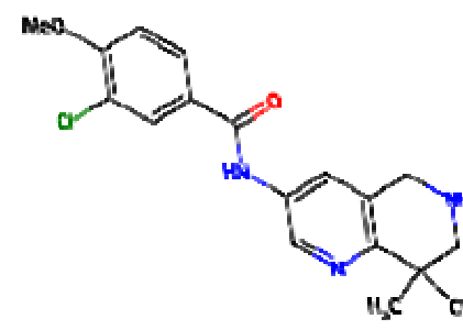 COc1ccc(C(=O)Nc2cnc3c(c2)CNCC3(C)C)cc1Cl